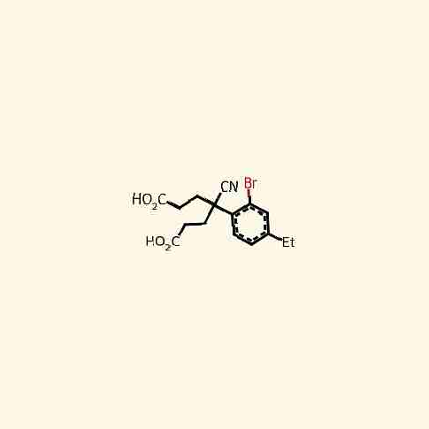 CCc1ccc(C(C#N)(CCC(=O)O)CCC(=O)O)c(Br)c1